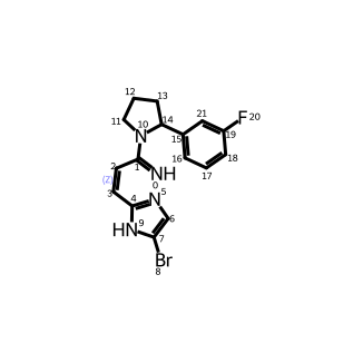 N=C(/C=C\c1ncc(Br)[nH]1)N1CCCC1c1cccc(F)c1